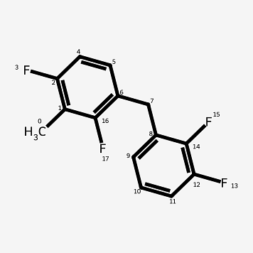 Cc1c(F)ccc(Cc2cccc(F)c2F)c1F